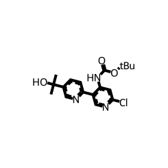 CC(C)(C)OC(=O)Nc1cc(Cl)ncc1-c1ccc(C(C)(C)O)cn1